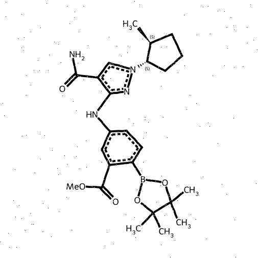 COC(=O)c1cc(Nc2nn([C@H]3CCC[C@@H]3C)cc2C(N)=O)ccc1B1OC(C)(C)C(C)(C)O1